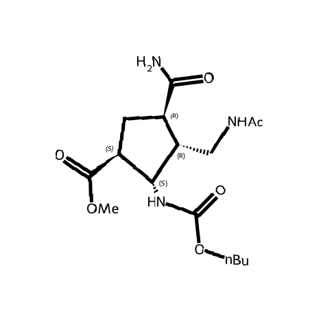 CCCCOC(=O)N[C@H]1[C@@H](CNC(C)=O)[C@H](C(N)=O)C[C@@H]1C(=O)OC